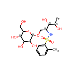 CC[C@@H](O)[C@@H](O)[C@H](CO[C@H]1OC(CO)[C@H](O)C(O)C1O)NS(=O)(=O)c1ccccc1C